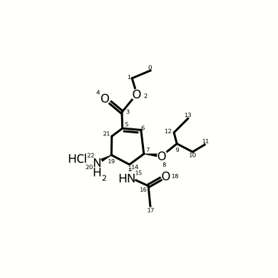 CCOC(=O)C1=C[C@@H](OC(CC)CC)[C@H](NC(C)=O)[C@@H](N)C1.Cl